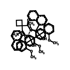 COc1ccccc1C(O)(c1ccccc1OC)[C@H](c1cccc2ccccc12)N(C(=O)C1(C(N)=O)CCC1)[C@@H](c1cccc2ccccc12)C(O)(c1ccccc1OC)c1ccccc1OC